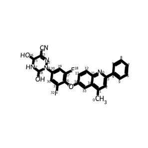 Cc1cc(-c2ccccc2)nc2ccc(Oc3c(F)cc(N4N=C(C#N)C(O)NC4O)cc3F)cc12